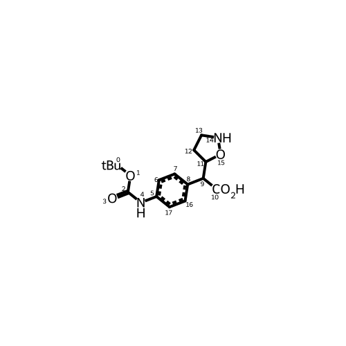 CC(C)(C)OC(=O)Nc1ccc(C(C(=O)O)C2CCNO2)cc1